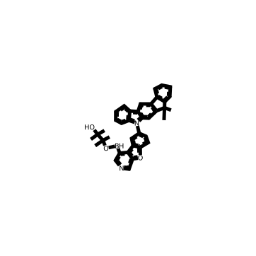 CC1(C)c2ccccc2-c2cc3c4ccccc4n(-c4ccc5oc6cncc(BOC(C)(C)C(C)(C)O)c6c5c4)c3cc21